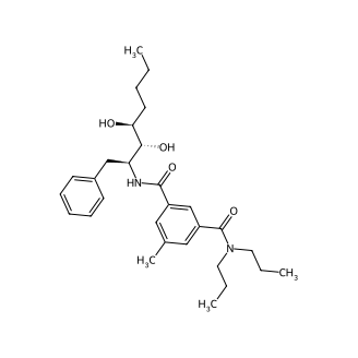 CCCC[C@H](O)[C@H](O)[C@H](Cc1ccccc1)NC(=O)c1cc(C)cc(C(=O)N(CCC)CCC)c1